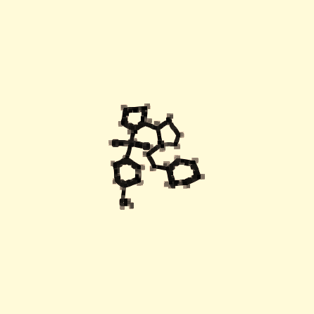 Cc1ccc(S(=O)(=O)n2cccc2C2SCCN2CCc2ccccn2)cc1